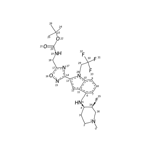 CN1CC[C@@H](Nc2cccc3c2cc(-c2noc(CNC(=O)OC(C)(C)C)n2)n3CC(F)(F)F)[C@@H](F)C1